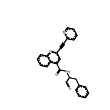 O=CC(Cc1ccccc1)NC(=O)c1cc(C#Cc2ccccn2)nc2ccccc12